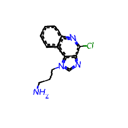 NCCCn1cnc2c(Cl)nc3ccccc3c21